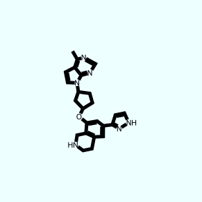 Cc1ncnc2c1ccn2C1CCC(Oc2cc(-c3cc[nH]n3)cc3c2CNCC3)C1